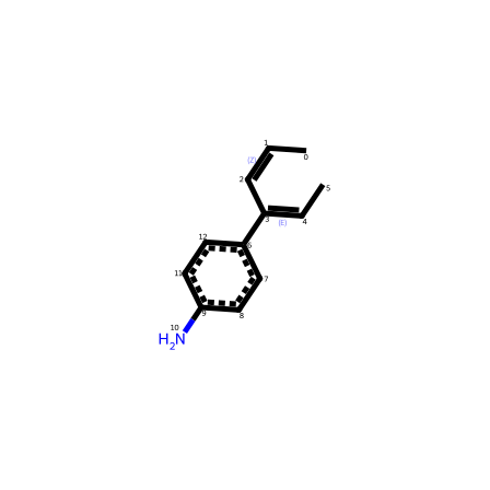 C/C=C\C(=C/C)c1ccc(N)cc1